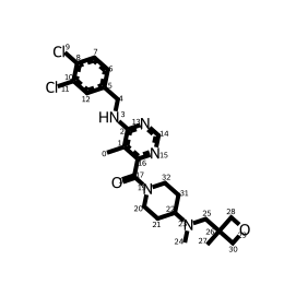 Cc1c(NCc2ccc(Cl)c(Cl)c2)ncnc1C(=O)N1CCC(N(C)CC2(C)COC2)CC1